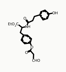 CCOC(=O)C(Cc1ccc(OC(=O)CC=O)cc1)NC(=O)CCc1ccc(O)cc1